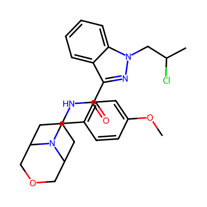 COc1ccc(CN2C3COCC2CC(NC(=O)c2nn(CC(C)Cl)c4ccccc24)C3)cc1